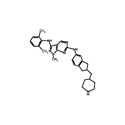 Cc1cccc(C)c1Nc1nn(C)c2nc(Nc3ccc4c(c3)CN(CC3CCNCC3)C4)ncc12